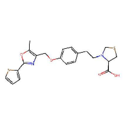 Cc1oc(-c2cccs2)nc1COc1ccc(CCN2CSC[C@H]2C(=O)O)cc1